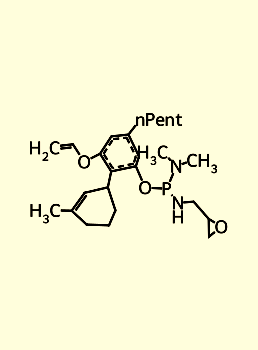 C=COc1cc(CCCCC)cc(OP(NCC2CO2)N(C)C)c1C1C=C(C)CCC1